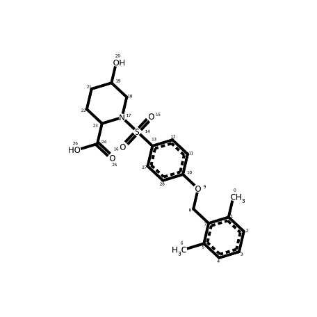 Cc1cccc(C)c1COc1ccc(S(=O)(=O)N2CC(O)CCC2C(=O)O)cc1